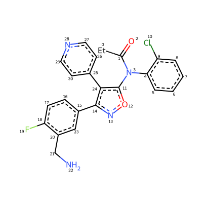 CCC(=O)N(c1ccccc1Cl)c1onc(-c2ccc(F)c(CN)c2)c1-c1ccncc1